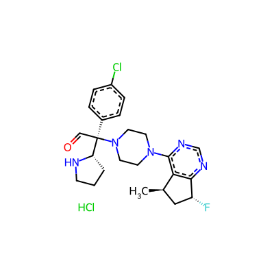 C[C@@H]1C[C@@H](F)c2ncnc(N3CCN([C@@](C=O)(c4ccc(Cl)cc4)[C@@H]4CCCN4)CC3)c21.Cl